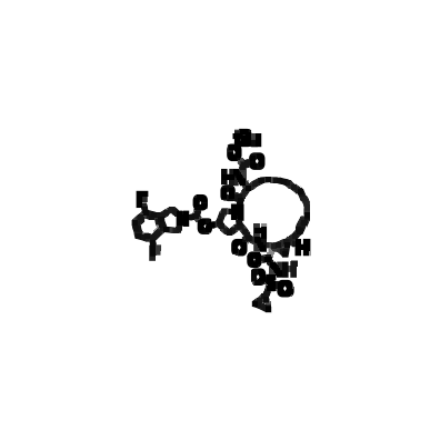 CC(C)(C)OC(=O)N[C@H]1CCCCC/C=C\[C@@H]2C[C@@]2(C(=O)NS(=O)(=O)C2CC2)NC(=O)C2C[C@@H](OC(=O)N3Cc4c(F)ccc(F)c4C3)CN2C1=O